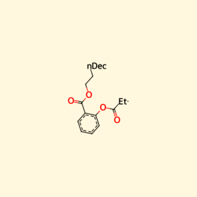 C[CH]C(=O)Oc1ccccc1C(=O)OCCCCCCCCCCCC